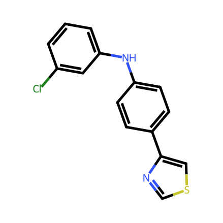 Clc1cccc(Nc2ccc(-c3cscn3)cc2)c1